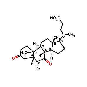 CC[C@H]1C(=O)[C@@H]2[C@H](CC[C@]3(C)[C@@H]([C@H](C)CCC(=O)O)CC[C@@H]23)[C@@]2(C)CCC(=O)C[C@@H]12